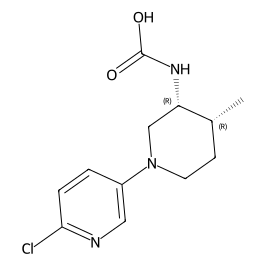 C[C@@H]1CCN(c2ccc(Cl)nc2)C[C@@H]1NC(=O)O